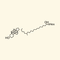 CCCCCCC(O)CCCCCCCCCCCCC(C)CCCC(C)[C@H]1CC[C@H]2[C@@H]3CC=C4C[C@@H](O)CC[C@]4(C)[C@H]3CC[C@]12C